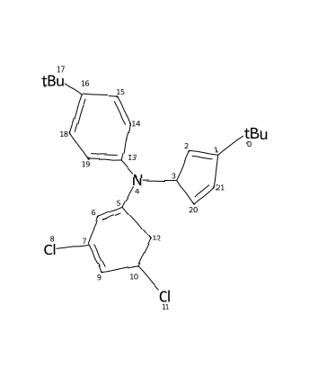 CC(C)(C)C1=CC(N(C2=CC(Cl)=CC(Cl)C2)c2ccc(C(C)(C)C)cc2)C=C1